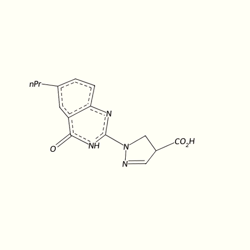 CCCc1ccc2nc(N3CC(C(=O)O)C=N3)[nH]c(=O)c2c1